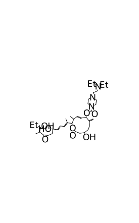 C=C1CCC(O)CC(=O)OC(/C(C)=C/C=C/C(C)(O)CC2OC2C(C)C(O)CC)C(C)/C=C/C1OC(=O)N1CCN(CCN(CC)CC)CC1